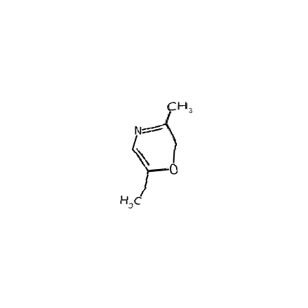 CC1=CN=C(C)CO1